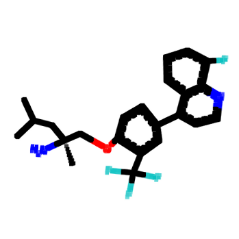 CC(C)C[C@](C)(N)COc1ccc(-c2ccnc3c(F)cccc23)cc1C(F)(F)F